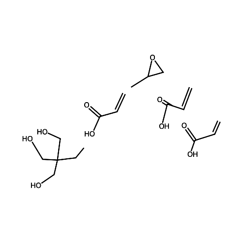 C=CC(=O)O.C=CC(=O)O.C=CC(=O)O.CC1CO1.CCC(CO)(CO)CO